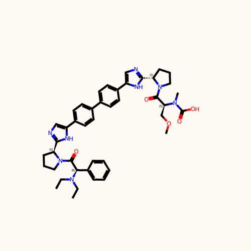 CCN(CC)[C@@H](C(=O)N1CCC[C@H]1c1ncc(-c2ccc(-c3ccc(-c4cnc([C@@H]5CCCN5C(=O)[C@H](COC)N(C)C(=O)O)[nH]4)cc3)cc2)[nH]1)c1ccccc1